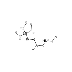 CCNCC(C)CN[Si](OC)(OC)OC